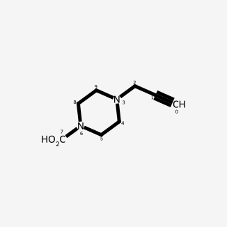 C#CCN1CCN(C(=O)O)CC1